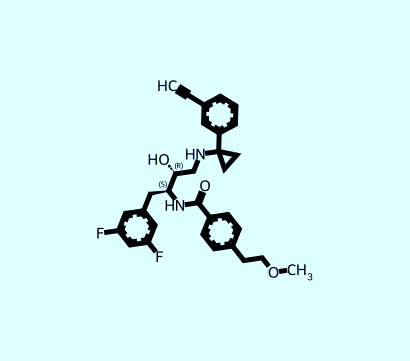 C#Cc1cccc(C2(NC[C@@H](O)[C@H](Cc3cc(F)cc(F)c3)NC(=O)c3ccc(CCOC)cc3)CC2)c1